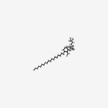 CCCCCCCCCCCCCCCCCCSC1CCCC(OP(=O)(O)OCC[N+](C)(C)C)C1CC